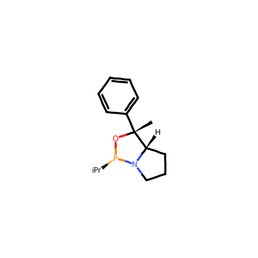 CC(C)[P@@]1O[C@](C)(c2ccccc2)[C@@H]2CCCN21